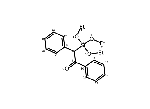 CCO[Si](OCC)(OCC)C(C(=O)c1ccccc1)c1ccccc1